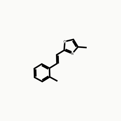 Cc1coc(C=Cc2ccccc2C)n1